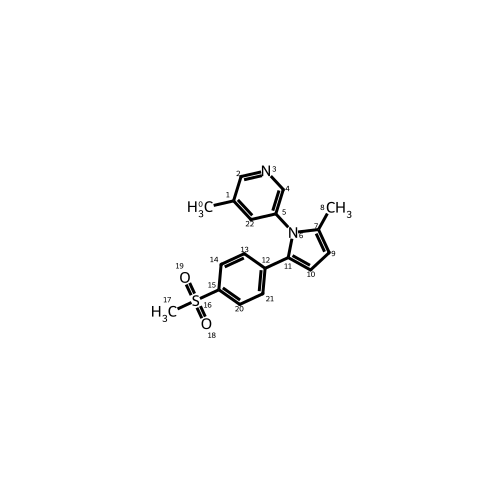 Cc1cncc(-n2c(C)ccc2-c2ccc(S(C)(=O)=O)cc2)c1